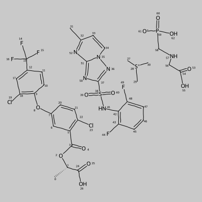 C[C@H](OC(=O)c1cc(Oc2ccc(C(F)(F)F)cc2Cl)ccc1Cl)C(=O)O.C[S+](C)C.Cc1ccn2nc(S(=O)(=O)Nc3c(F)cccc3F)nc2n1.O=C(O)CNCP(=O)([O-])O